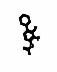 C=C(C)Oc1ccc(C2CCCCC2)c(F)c1F